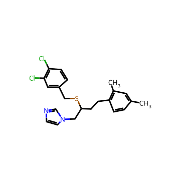 Cc1ccc(CCC(Cn2ccnc2)SCc2ccc(Cl)c(Cl)c2)c(C)c1